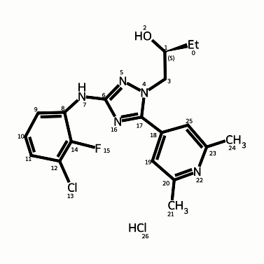 CC[C@H](O)Cn1nc(Nc2cccc(Cl)c2F)nc1-c1cc(C)nc(C)c1.Cl